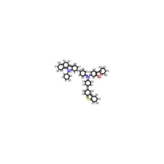 c1ccc(-n2c3cc(-c4ccc(N(c5ccc(-c6ccc7sc8ccccc8c7c6)cc5)c5ccc6c(c5)oc5ccccc56)cc4)ccc3c3ccc4ccccc4c32)cc1